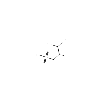 C[C@@H](CS(=O)(=O)O)C(F)F